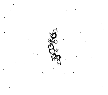 CC1CCN(S(=O)(=O)c2ccc(Cl)nc2)CC1N(C)c1ncnc2[nH]ccc12